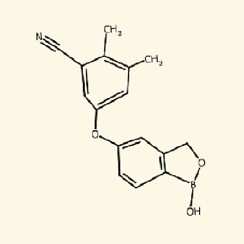 Cc1cc(Oc2ccc3c(c2)COB3O)cc(C#N)c1C